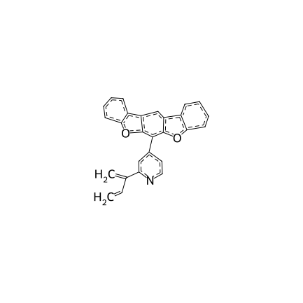 C=CC(=C)c1cc(-c2c3oc4ccccc4c3cc3c2oc2ccccc23)ccn1